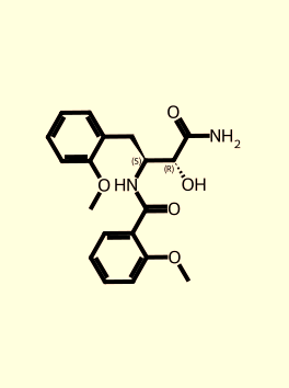 COc1ccccc1C[C@H](NC(=O)c1ccccc1OC)[C@@H](O)C(N)=O